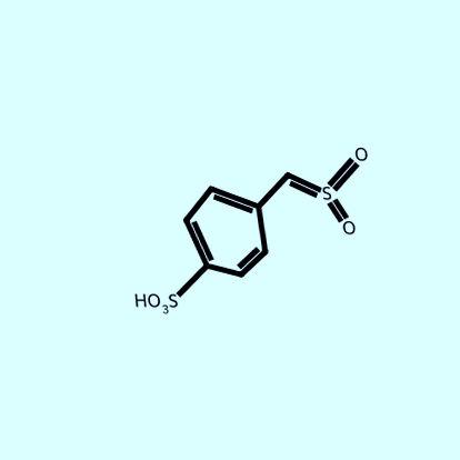 O=S(=O)=Cc1ccc(S(=O)(=O)O)cc1